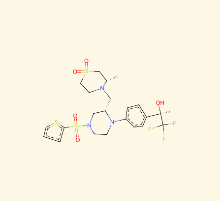 C[C@H]1CS(=O)(=O)CCN1C[C@H]1CN(S(=O)(=O)c2cccs2)CCN1c1ccc([C@@](C)(O)C(F)(F)F)cc1